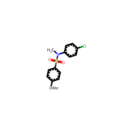 COc1ccc(S(=O)(=O)N(C)c2ccc(Cl)cc2)cc1